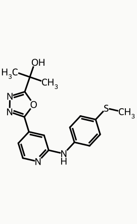 CSc1ccc(Nc2cc(-c3nnc(C(C)(C)O)o3)ccn2)cc1